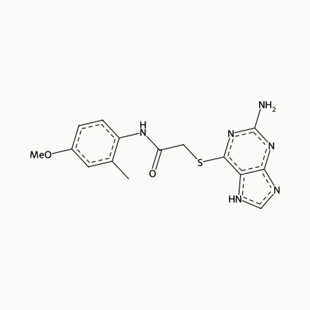 COc1ccc(NC(=O)CSc2nc(N)nc3nc[nH]c23)c(C)c1